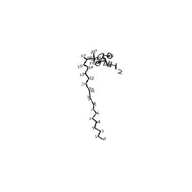 CCCCCCCCCCCCCCCCC(C)C(C)(C)OS(N)(=O)=O